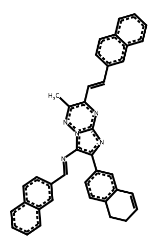 Cc1nn2c(/N=C/c3ccc4ccccc4c3)c(-c3ccc4c(c3)C=CCC4)nc2nc1/C=C/c1ccc2ccccc2c1